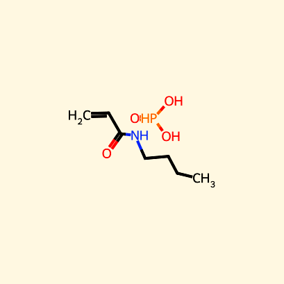 C=CC(=O)NCCCC.O=[PH](O)O